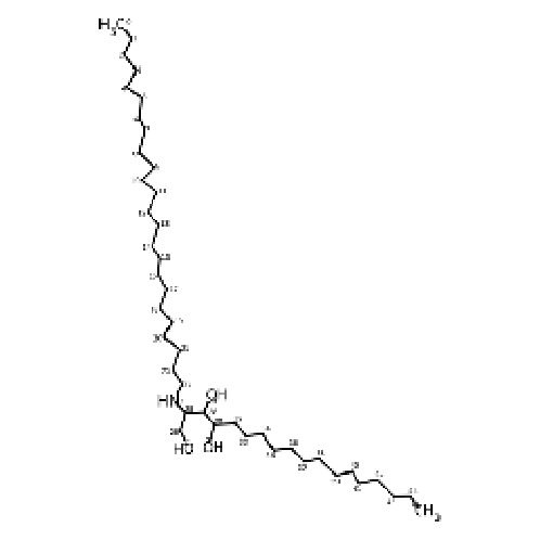 CCCCCCCCCCCCCCCCCCCCCCCCNC(CO)C(O)C(O)CCCCCCCCCCCCCC